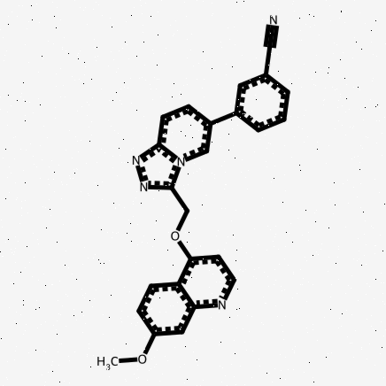 COc1ccc2c(OCc3nnc4ccc(-c5cccc(C#N)c5)cn34)ccnc2c1